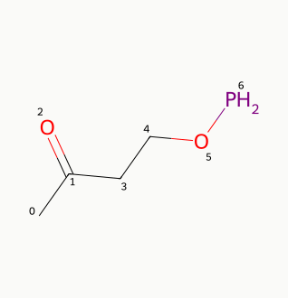 CC(=O)CCOP